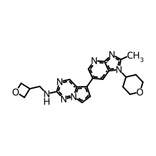 Cc1nc2ncc(-c3ccn4nc(NCC5COC5)ncc34)cc2n1C1CCOCC1